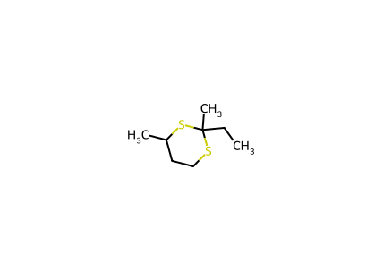 CCC1(C)SCCC(C)S1